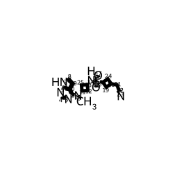 CN(c1ncnc2[nH]ccc12)[C@H]1C[C@@H](NS(=O)(=O)C2CC(CC#N)C2)C1